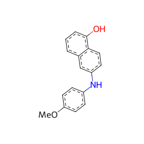 COc1ccc(Nc2ccc3c(O)cccc3c2)cc1